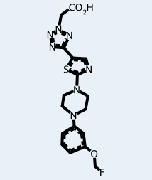 O=C(O)Cn1nnc(-c2cnc(N3CCN(c4cccc(OCF)c4)CC3)s2)n1